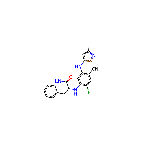 Cc1cc(Nc2cc(NC(Cc3ccccc3)C(N)=O)c(F)cc2C#N)sn1